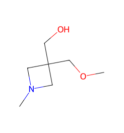 COCC1(CO)CN(C)C1